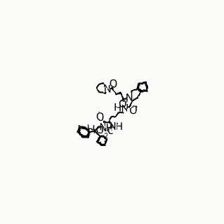 O=C(O)NC(CCCCNC(=O)C1Cc2ccccc2CN1C(=O)CCC(=O)N1CCCCC1)C(=O)NCC(c1ccccc1)c1ccccc1